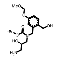 COCOc1ccc(CO)c(CN(C[C@H](O)CN)C(=O)OC(C)(C)C)c1